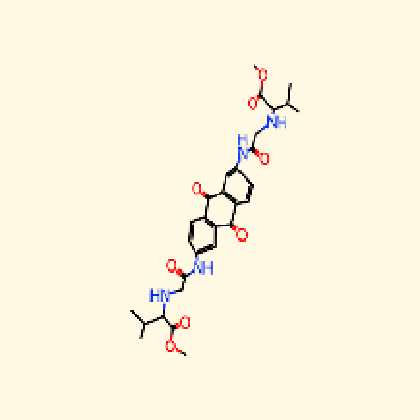 COC(=O)[C@H](NCC(=O)Nc1ccc2c(c1)C(=O)c1ccc(NC(=O)CN[C@@H](C(=O)OC)C(C)C)cc1C2=O)C(C)C